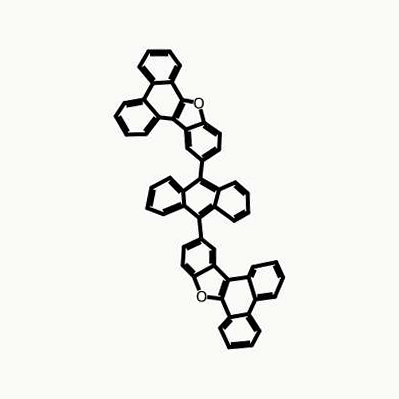 c1ccc2c(-c3ccc4oc5c6ccccc6c6ccccc6c5c4c3)c3ccccc3c(-c3ccc4oc5c6ccccc6c6ccccc6c5c4c3)c2c1